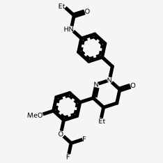 CCC(=O)Nc1ccc(CN2N=C(c3ccc(OC)c(OC(F)F)c3)C(CC)CC2=O)cc1